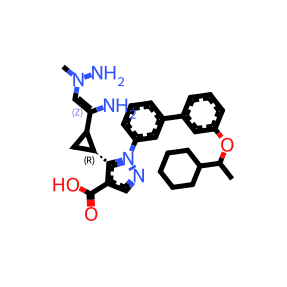 CC(Oc1cccc(-c2cccc(-n3ncc(C(=O)O)c3[C@@H]3CC3/C(N)=C/N(C)N)c2)c1)C1CCCCC1